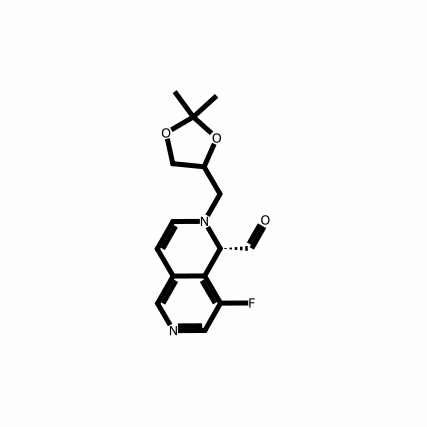 CC1(C)OCC(CN2C=Cc3cncc(F)c3[C@H]2C=O)O1